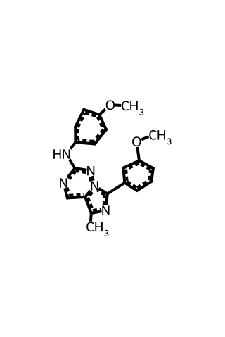 COc1ccc(Nc2ncc3c(C)nc(-c4cccc(OC)c4)n3n2)cc1